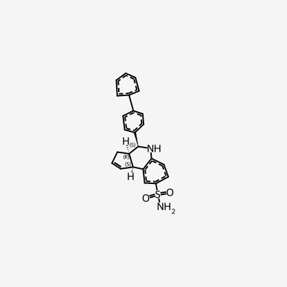 NS(=O)(=O)c1ccc2c(c1)[C@H]1C=CC[C@H]1[C@@H](c1ccc(-c3ccccc3)cc1)N2